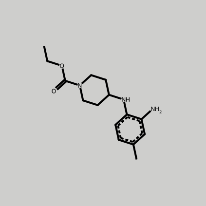 CCOC(=O)N1CCC(Nc2ccc(C)cc2N)CC1